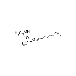 CCCCCCC=COCC(C)OCC(C)O